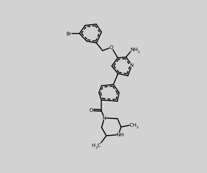 CC1CN(C(=O)c2ccc(-c3cnc(N)c(OCc4cccc(Br)c4)c3)cc2)CC(C)N1